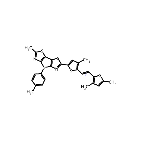 Cc1ccc(-n2c3nc(C)sc3c3sc(-c4cc(C)c(/C=C/c5sc(C)cc5C)s4)nc32)cc1